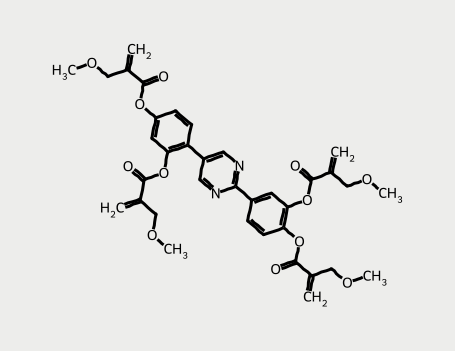 C=C(COC)C(=O)Oc1ccc(-c2cnc(-c3ccc(OC(=O)C(=C)COC)c(OC(=O)C(=C)COC)c3)nc2)c(OC(=O)C(=C)COC)c1